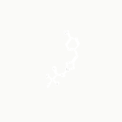 O=C(ON1CC(=Cc2ccc(Br)cc2)C1)C(F)(F)F